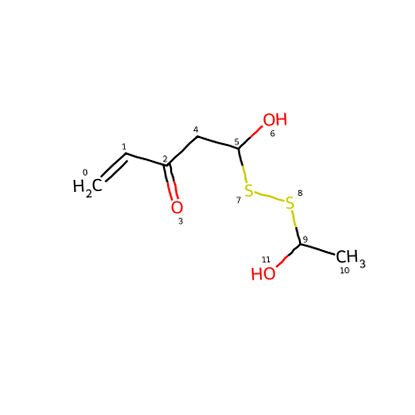 C=CC(=O)CC(O)SSC(C)O